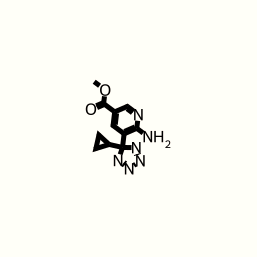 COC(=O)c1cnc(N)c(C2(C3CC3)N=NN=N2)c1